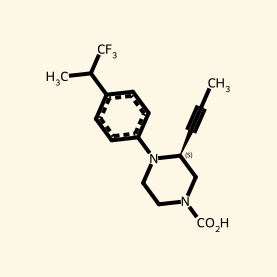 CC#C[C@H]1CN(C(=O)O)CCN1c1ccc(C(C)C(F)(F)F)cc1